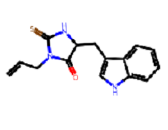 C=CCN1C(=O)C(Cc2c[nH]c3ccccc23)NC1=S